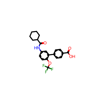 O=C(O)c1ccc(-c2cc(NC(=O)C3CCCCC3)ccc2OC(F)(F)F)cc1